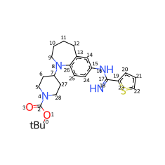 CC(C)(C)OC(=O)N1CCC(N2CCCCc3cc(NC(=N)c4cccs4)ccc32)CC1